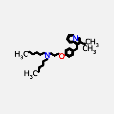 CCCCCCN(CCCCCC)CCCOc1ccc(Cc2c(C(C)C)cn3ccccc23)cc1